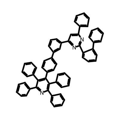 c1ccc(-c2cc(-c3cccc(-c4ccc(-c5c(-c6ccccc6)c(-c6ccccc6)nc(-c6ccccc6)c5-c5ccccc5)cc4)c3)nc(-c3ccccc3-c3ccccc3)n2)cc1